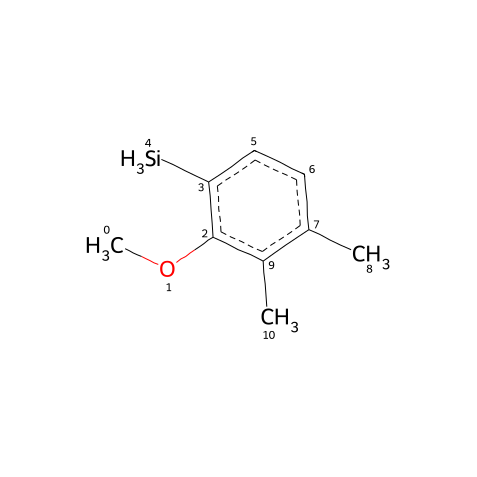 COc1c([SiH3])ccc(C)c1C